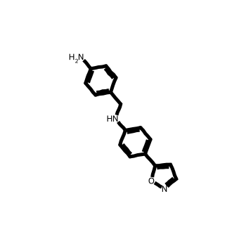 Nc1ccc(CNc2ccc(-c3ccno3)cc2)cc1